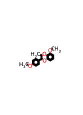 C=C(Oc1ccccc1OC)C(=O)c1ccc(OC)cc1